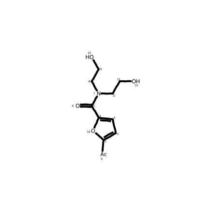 CC(=O)c1ccc(C(=O)N(CCO)CCO)o1